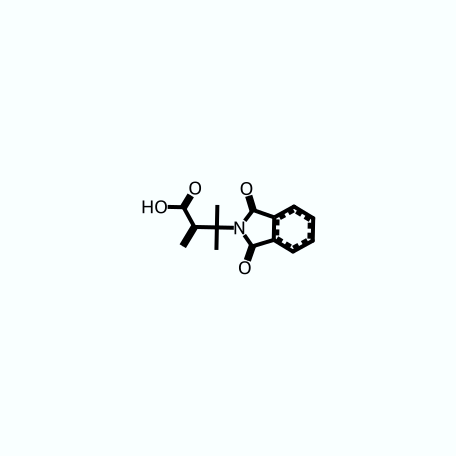 C=C(C(=O)O)C(C)(C)N1C(=O)c2ccccc2C1=O